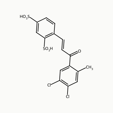 Cc1cc(Cl)c(Cl)cc1C(=O)/C=C/c1ccc(S(=O)(=O)O)cc1S(=O)(=O)O